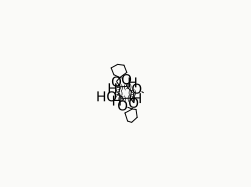 CO[C@@H]1[C@H]2OC3(CCCCC3)O[C@H]2[C@@H](O)[C@@H]2OC3(CCCCC3)O[C@@H]12